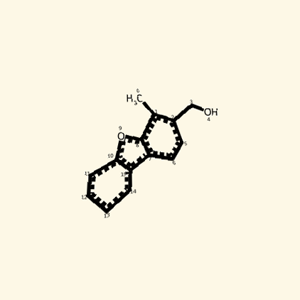 Cc1c(CO)ccc2c1oc1ccccc12